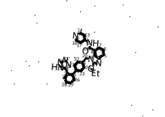 CCOc1nc2cccc(C(=O)Nc3ccncc3)c2n1Cc1ccc(-c2ccccc2-c2nnn[nH]2)cc1